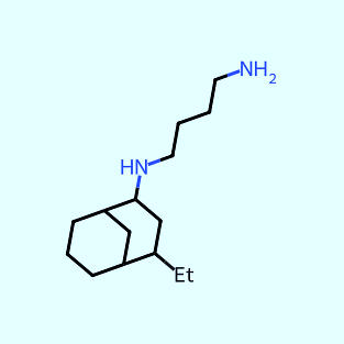 CCC1CC(NCCCCN)C2CCCC1C2